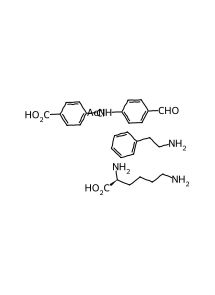 CC(=O)Nc1ccc(C=O)cc1.NCCCC[C@H](N)C(=O)O.NCCc1ccccc1.O=C(O)c1ccc(Cl)cc1